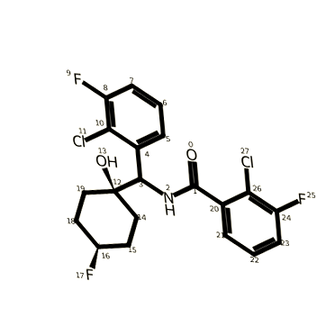 O=C(NC(c1cccc(F)c1Cl)[C@]1(O)CC[C@@H](F)CC1)c1cccc(F)c1Cl